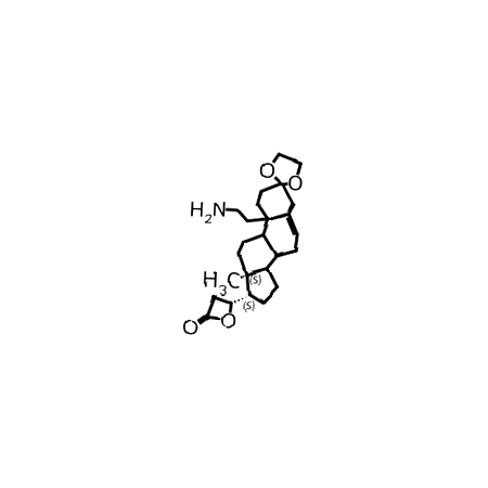 C[C@]12CCC3C(CC=C4CC5(CCC43CCN)OCCO5)C1CC[C@@H]2C1CC(=O)O1